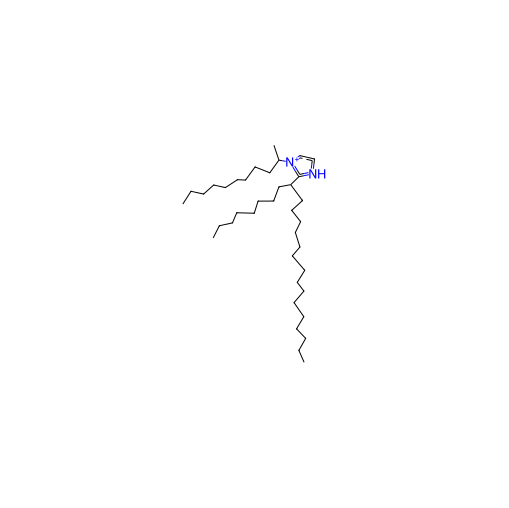 CCCCCCCCCCCCCCCC(CCCCCCCC)c1[nH]cc[n+]1C(C)CCCCCCCCC